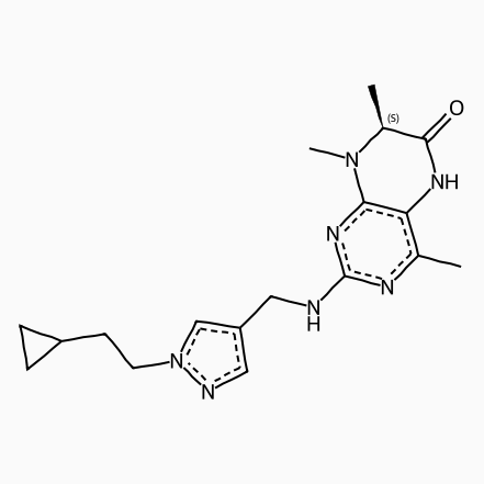 Cc1nc(NCc2cnn(CCC3CC3)c2)nc2c1NC(=O)[C@H](C)N2C